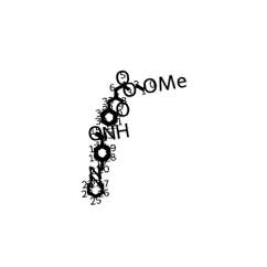 COCCOC(=O)CC1COc2cc(NC(=O)c3ccc(C=NN4CCCCC4)cc3)ccc2C1